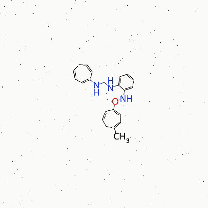 CC1=CC=C(ONc2ccccc2NCNC2=CC=CCC=C2)C=CC1